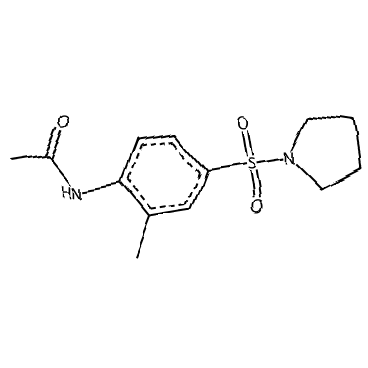 CC(=O)Nc1ccc(S(=O)(=O)N2CCCC2)cc1C